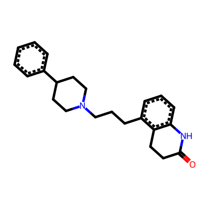 O=C1CCc2c(CCCN3CCC(c4ccccc4)CC3)cccc2N1